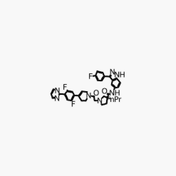 CCC[C@@]1(C(=O)Nc2ccc3[nH]nc(-c4ccc(F)cc4)c3c2)CCN(CC(=O)N2CC=C(c3cc(F)c(-c4ncccn4)cc3F)CC2)C1